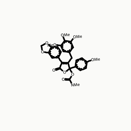 CNC(=O)OC1(c2ccc(OC)cc2)OC(=O)C(c2ccc3c(c2)OCO3)=C1Cc1cc(OC)c(OC)c(OC)c1